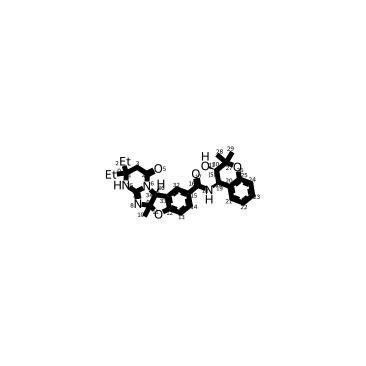 CCC1(CC)CC(=O)N2C(=NC3(C)Oc4ccc(C(=O)N[C@@H]5c6ccccc6OC(C)(C)[C@H]5O)cc4[C@H]23)N1